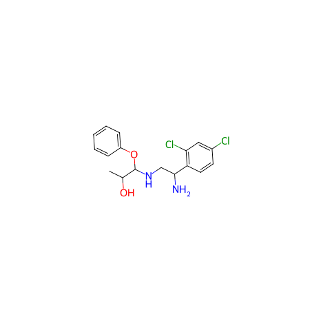 CC(O)C(NCC(N)c1ccc(Cl)cc1Cl)Oc1ccccc1